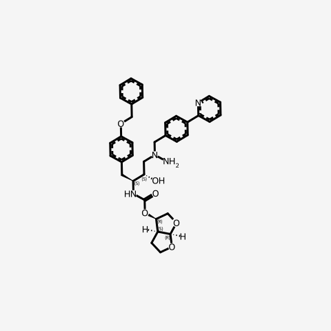 NN(Cc1ccc(-c2ccccn2)cc1)C[C@H](O)[C@H](Cc1ccc(OCc2ccccc2)cc1)NC(=O)O[C@H]1CO[C@H]2OCC[C@H]21